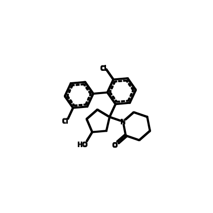 O=C1CCCCN1C1(c2cccc(Cl)c2-c2cccc(Cl)c2)CCC(O)C1